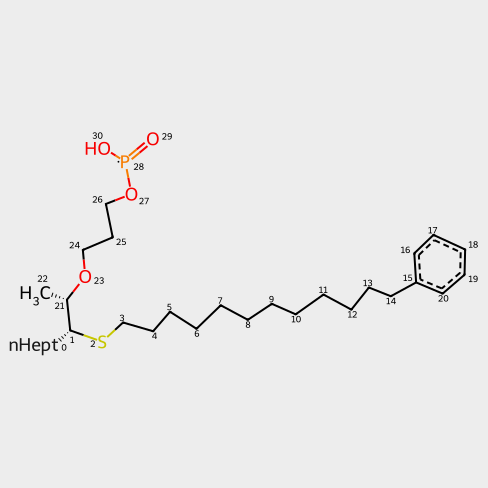 CCCCCCC[C@@H](SCCCCCCCCCCCCc1ccccc1)[C@H](C)OCCCO[P](=O)O